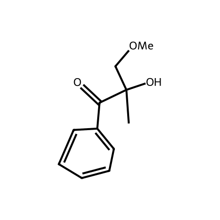 COCC(C)(O)C(=O)c1ccccc1